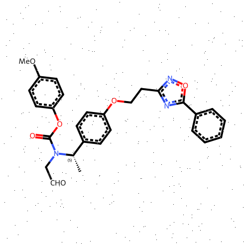 COc1ccc(OC(=O)N(CC=O)[C@@H](C)c2ccc(OCCc3noc(-c4ccccc4)n3)cc2)cc1